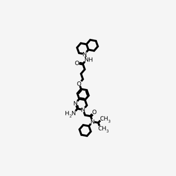 CC(C)N(C(=O)CN1Cc2ccc(OCCCC(=O)NN3CCCC4CCCCC43)cc2N=C1N)C1CCCCC1